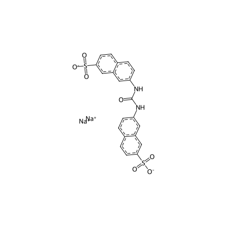 O=C(Nc1ccc2ccc(S(=O)(=O)[O-])cc2c1)Nc1ccc2ccc(S(=O)(=O)[O-])cc2c1.[Na+].[Na+]